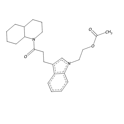 CC(=O)OCCn1cc(CCC(=O)N2CCCC3CCCCC32)c2ccccc21